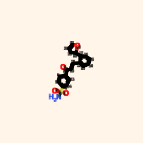 NS(=O)(=O)c1ccc(C(=O)/C=C/c2ccccc2C2CC=CO2)cc1